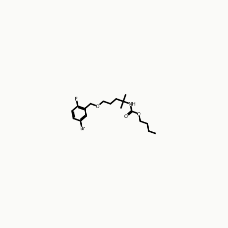 CCCCOC(=O)NC(C)(C)CCCOCc1cc(Br)ccc1F